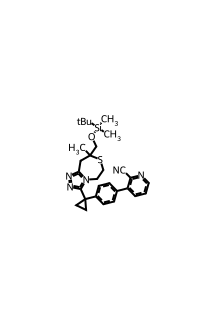 CC1(CO[Si](C)(C)C(C)(C)C)Cc2nnc(C3(c4ccc(-c5cccnc5C#N)cc4)CC3)n2CCS1